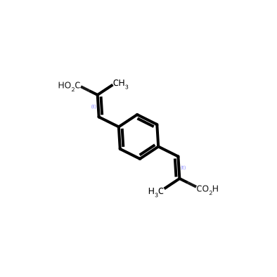 C/C(=C\c1ccc(/C=C(\C)C(=O)O)cc1)C(=O)O